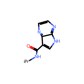 CC(C)NC(=O)c1c[nH]c2nccnc12